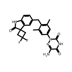 Cc1cc(-n2nc(N)c(=O)[nH]c2=O)cc(C)c1Cc1ccc2c(c1)C1(CC(F)(F)C1)C(=O)N2